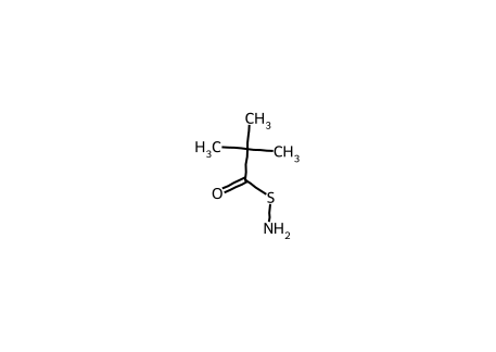 CC(C)(C)C(=O)SN